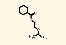 CC(C)OCCOC(=O)C1CCCCC1